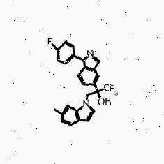 Cc1ccc2ccn(CC(O)(c3ccc4c(c3)C=NC4c3ccc(F)cc3)C(F)(F)F)c2c1